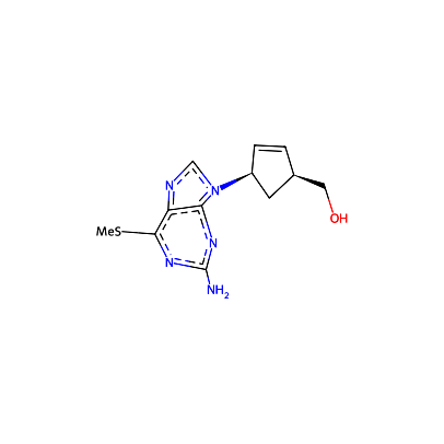 CSc1nc(N)nc2c1ncn2[C@H]1C=C[C@@H](CO)C1